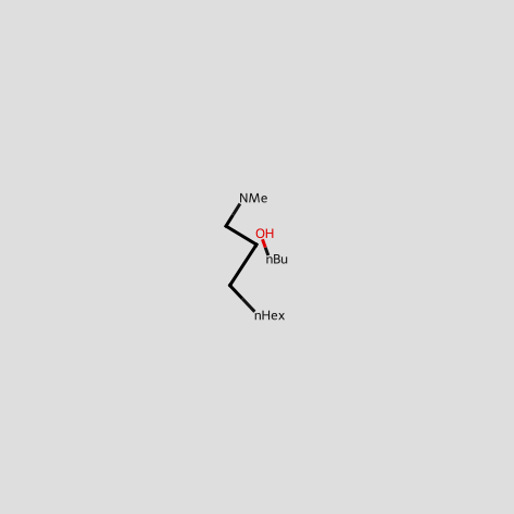 CCCCCCCCCNC.CCCCO